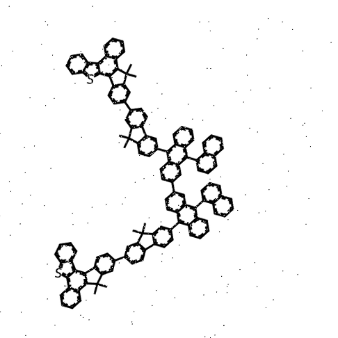 CC1(C)c2ccc(-c3c4ccccc4c(-c4cccc5ccccc45)c4cc(-c5ccc6c(-c7ccc8c(c7)C(C)(C)c7cc(-c9ccc%10c(c9)C(C)(C)c9c-%10c%10c%11ccccc%11sc%10c%10ccccc9%10)ccc7-8)c7ccccc7c(-c7cccc8ccccc78)c6c5)ccc34)cc2-c2ccc(-c3ccc4c(c3)C(C)(C)c3c-4c4sc5ccccc5c4c4ccccc34)cc21